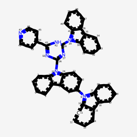 c1ccc2c(c1)c1cc(-n3c4ccccc4c4ccccc43)ccc1n2C1=NC(n2c3ccccc3c3ccccc32)NC(c2ccncc2)=N1